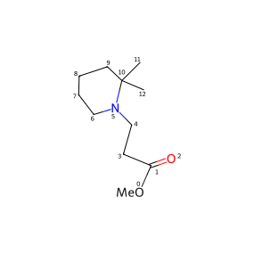 COC(=O)CCN1CCCCC1(C)C